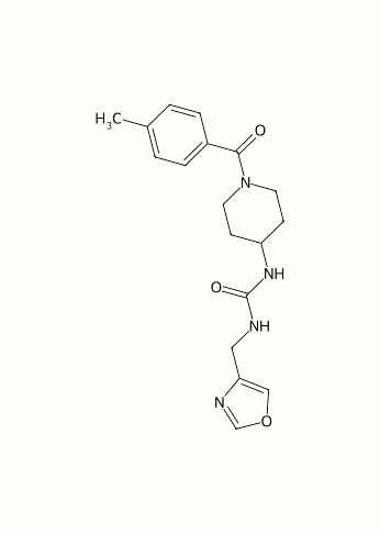 Cc1ccc(C(=O)N2CCC(NC(=O)NCc3cocn3)CC2)cc1